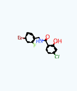 O=C(NCc1ccc(Br)cc1F)c1ccc(Cl)cc1O